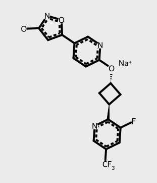 [Na+].[O-]c1cc(-c2ccc(O[C@H]3C[C@H](c4ncc(C(F)(F)F)cc4F)C3)nc2)on1